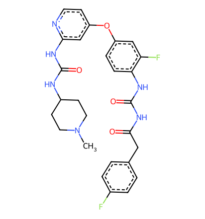 CN1CCC(NC(=O)Nc2cc(Oc3ccc(NC(=O)NC(=O)Cc4ccc(F)cc4)c(F)c3)ccn2)CC1